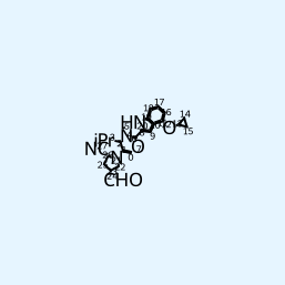 C=C(C(C(C)C)N(C)C(=O)c1cc2c(OC3CC3)cccc2[nH]1)N1CC(C=O)CC1C#N